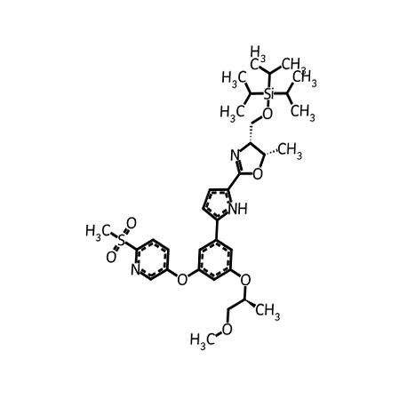 COC[C@H](C)Oc1cc(Oc2ccc(S(C)(=O)=O)nc2)cc(-c2ccc(C3=N[C@H](CO[Si](C(C)C)(C(C)C)C(C)C)[C@H](C)O3)[nH]2)c1